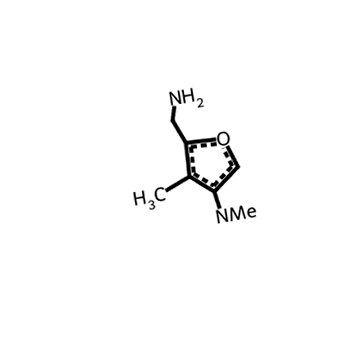 CNc1coc(CN)c1C